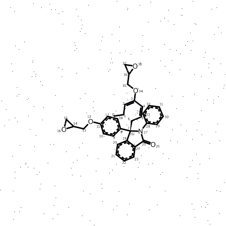 CC/C=C(\C=C/C[C@]1(c2ccc(OCC3CO3)cc2)c2ccccc2C(=O)N1c1ccccc1)OCC1CO1